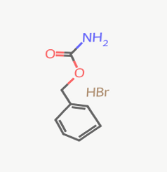 Br.NC(=O)OCc1ccccc1